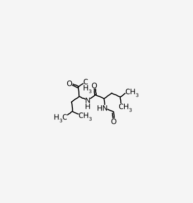 CC(=O)C(CC(C)C)NC(=O)C(CC(C)C)NC=O